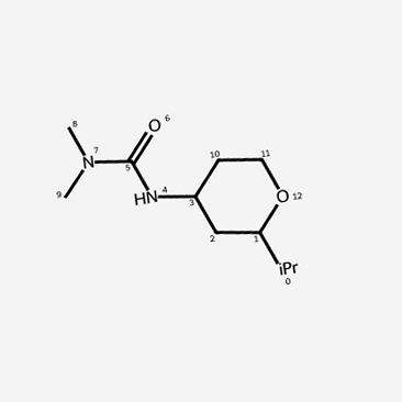 CC(C)C1CC(NC(=O)N(C)C)CCO1